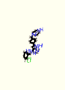 Clc1ccccc1CNc1ncnc2[nH]c(-c3ccc(CN4CCNCC4)cc3)cc12